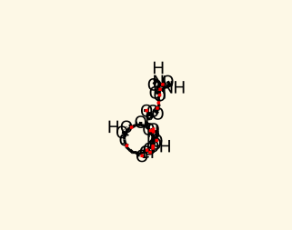 CO[C@H]1C[C@@H]2CC[C@@H](C)[C@@](O)(O2)C(=O)C(=O)N2CCCC[C@H]2C(=O)O[C@H]([C@H](C)C[C@@H]2CC[C@@H](OC(=O)C(C)(C)CCCCOC(=O)c3c(I)c(NC(C)=O)c(I)c(NC(C)=O)c3I)[C@H](OC)C2)CC(=O)[C@H](C)/C=C(\C)[C@@H](O)[C@@H](C)C(=O)[C@H](C)C[C@H](C)/C=C/C=C/C=C/1C